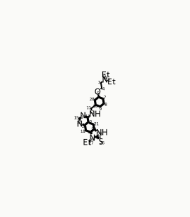 CCN(CC)CCOc1cccc(CNc2ncnc3cc4c(cc23)[nH]c(=S)n4CC)c1